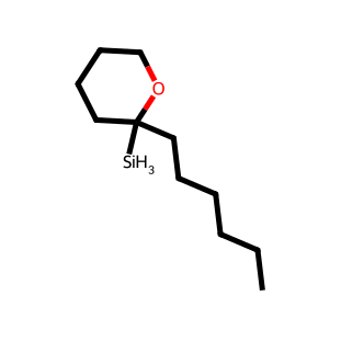 CCCCCCC1([SiH3])CCCCO1